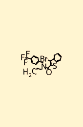 C=CCN(Cc1ccc(C(F)(F)F)cc1)C(=O)c1sc2ccccc2c1Br